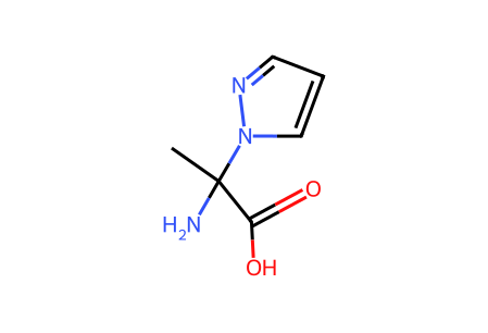 CC(N)(C(=O)O)n1cccn1